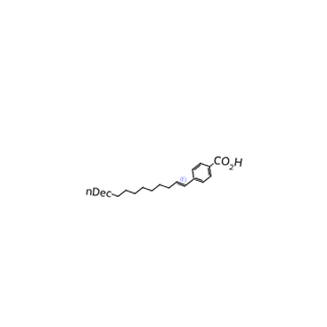 CCCCCCCCCCCCCCCCC/C=C/c1ccc(C(=O)O)cc1